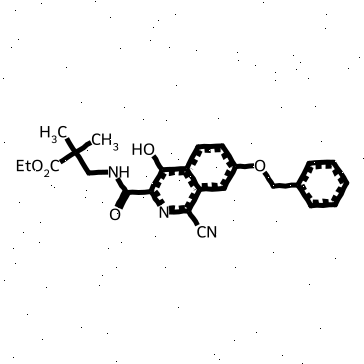 CCOC(=O)C(C)(C)CNC(=O)c1nc(C#N)c2cc(OCc3ccccc3)ccc2c1O